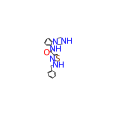 O=C(Nc1ccccc1N1CCNCC1)c1csc(NCc2ccccc2)n1